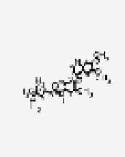 COc1cc2nccc(Oc3ccc(NC(=O)NCCC(C)(C)C)cc3C)c2cc1OC